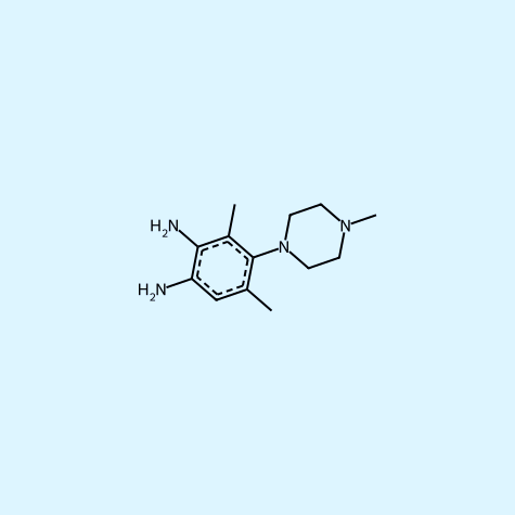 Cc1cc(N)c(N)c(C)c1N1CCN(C)CC1